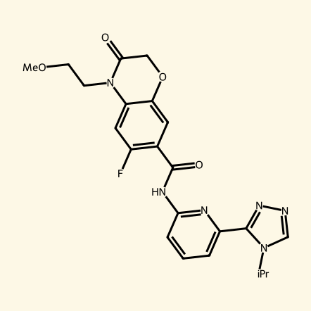 COCCN1C(=O)COc2cc(C(=O)Nc3cccc(-c4nncn4C(C)C)n3)c(F)cc21